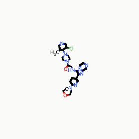 Cc1cncc(Cl)c1N1CCN(C(=O)CNc2c(-c3ccc(N4CCOCC4)nc3)nc3cnccn23)CC1